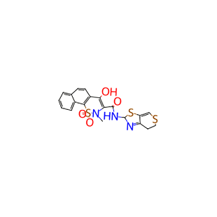 CN1C(C(=O)NC2N=C3CCSC=C3S2)=C(O)c2ccc3ccccc3c2S1(=O)=O